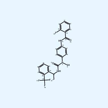 CC(NC(=O)N(S)c1ccc(NC(=O)c2ccccc2F)cc1)c1ccccc1C(F)(F)F